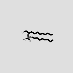 CCCCCCCCCCCN.CCCCCCCCOS(=O)(=O)O